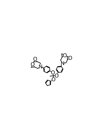 CC(OC1=CCC=C1)(Oc1ccc(N(CC2CO2)CC2CO2)cc1)Oc1ccc(N(CC2CO2)CC2CO2)cc1